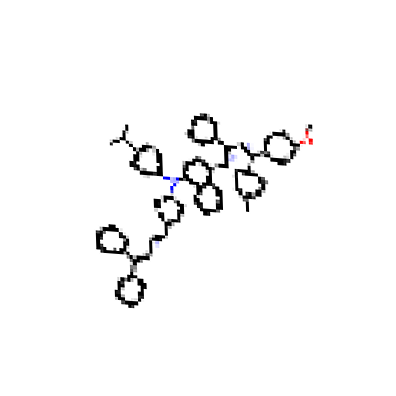 COc1ccc(/C(=C/C(=C/c2ccc(N(c3ccc(/C=C/C=C(c4ccccc4)c4ccccc4)cc3)c3ccc(C(C)C)cc3)c3ccccc23)c2ccccc2)c2ccc(C)cc2)cc1